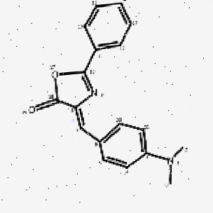 CN(C)c1ccc(/C=C2\N=C(c3ccccc3)OC2=O)cc1